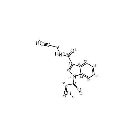 C#CCNC(=O)c1cn(C(=O)C=C)c2ccccc12